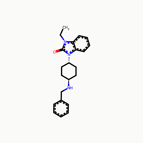 CCn1c(=O)n([C@H]2CC[C@H](NCc3ccccc3)CC2)c2ccccc21